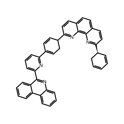 C1=CC[C@@H](c2ccc3ccc4ccc(C5C=CC(c6cccc(-c7nc8ccccc8c8ccccc78)n6)=CC5)nc4c3n2)C=C1